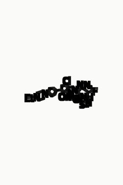 CCN1CCN(c2ccc(-c3cc(Cl)c4cn(C(C(=O)Nc5nccs5)c5ncn6c5CC(F)C6)nc4c3OC)cc2)CC1